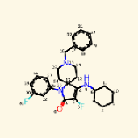 O=C1C(F)=C(NC2CCCCC2)C2(CCN(Cc3ccccc3)CC2)N1c1cccc(F)c1